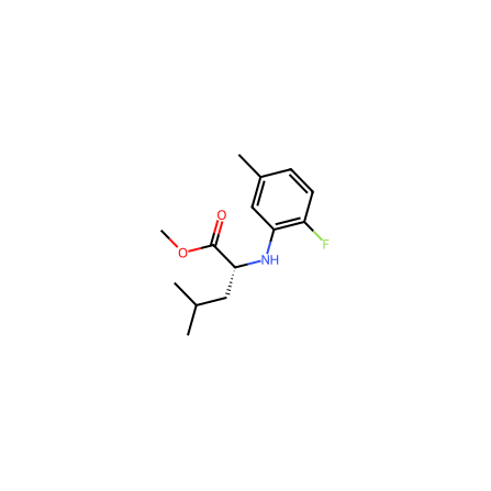 COC(=O)[C@@H](CC(C)C)Nc1cc(C)ccc1F